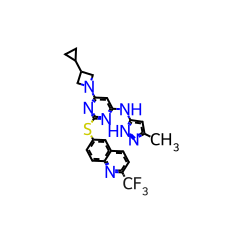 Cc1cc(Nc2cc(N3CC(C4CC4)C3)nc(Sc3ccc4nc(C(F)(F)F)ccc4c3)n2)[nH]n1